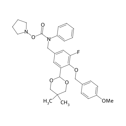 COc1ccc(COc2c(F)cc(CN(C(=O)ON3CCCC3)c3ccccc3)cc2C2OCC(C)(C)CO2)cc1